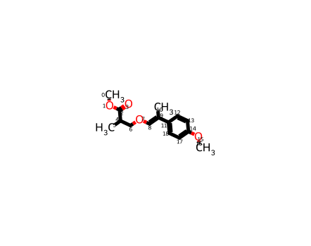 COC(=O)C(C)COC=C(C)c1ccc(OC)cc1